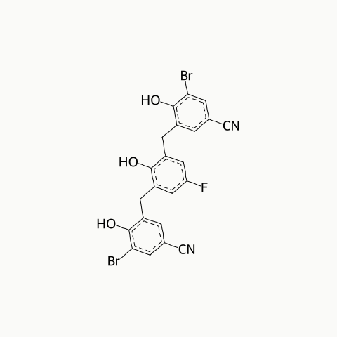 N#Cc1cc(Br)c(O)c(Cc2cc(F)cc(Cc3cc(C#N)cc(Br)c3O)c2O)c1